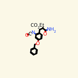 CCOC(=O)C(Cc1ccc(OCc2ccccc2)cc1N=C=O)C(N)=O